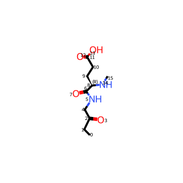 CCC(=O)CNC(=O)[C@@H](CCC(=O)O)NC